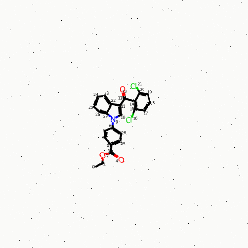 CCOC(=O)c1ccc(-n2cc(C(=O)c3c(Cl)cccc3Cl)c3ccccc32)cc1